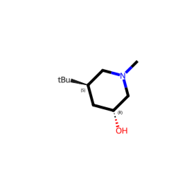 CN1C[C@H](O)C[C@@H](C(C)(C)C)C1